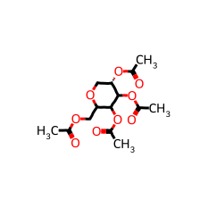 CC(=O)OCC1OC[C@H](OC(C)=O)C(OC(C)=O)C1OC(C)=O